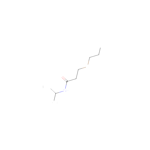 CCCSCCC(=O)NC(C)C